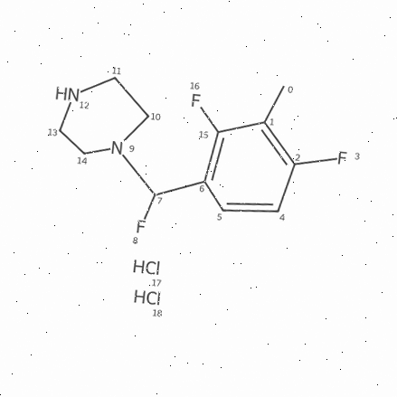 Cc1c(F)ccc(C(F)N2CCNCC2)c1F.Cl.Cl